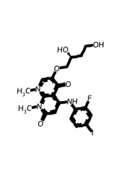 Cn1cc(OC[C@@H](O)CCO)c(=O)c2c(Nc3ccc(I)cc3F)cc(=O)n(C)c21